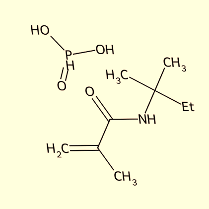 C=C(C)C(=O)NC(C)(C)CC.O=[PH](O)O